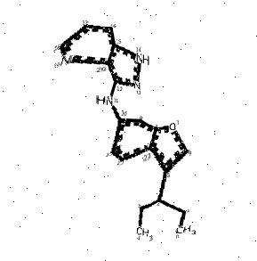 CCC(CC)c1coc2cc(Nc3n[nH]c4cccnc34)ccc12